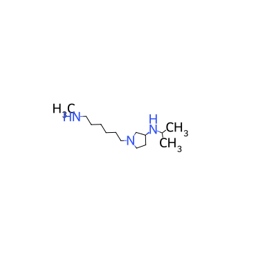 CNCCCCCCN1CC[C@H](NC(C)C)C1